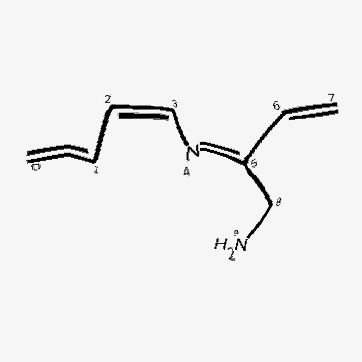 C=C/C=C\N=C(/C=C)CN